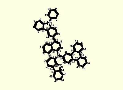 c1ccc(-n2c3ccccc3c3cc(-c4ccc(N(c5ccc6c7ccccc7c7ccccc7c6c5)c5cccc6c5sc5ccccc56)c5ccccc45)ccc32)cc1